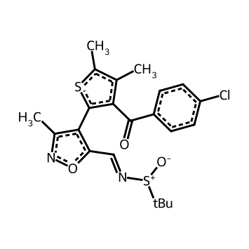 Cc1noc(C=N[S+]([O-])C(C)(C)C)c1-c1sc(C)c(C)c1C(=O)c1ccc(Cl)cc1